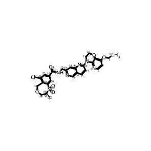 CCOc1ccnc2c1OCCN2c1ccc2cnc(CNC(=O)c3cc(Cl)c4c(c3)S(=O)(=O)[C@@H](F)COC4)cc2n1